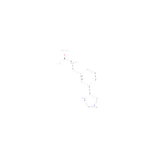 O=C(O)NCc1cccc(-c2c[nH]cn2)c1